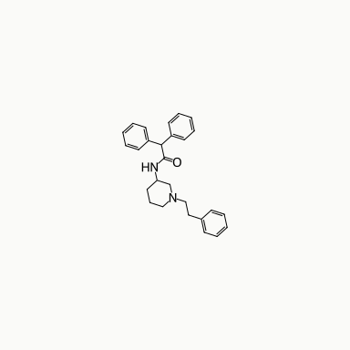 O=C(NC1CCCN(CCc2ccccc2)C1)C(c1ccccc1)c1ccccc1